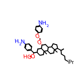 CC(C)CCCC(C)C1CCC2C3CC(OCOc4ccc(N)cc4)C4CC(C(OO)c5ccc(N)cc5)CCC4(C)C3CCC12C